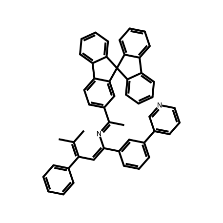 CC(C)=C(/C=C(\N=C(/C)c1ccc2c(c1)C1(c3ccccc3-c3ccccc31)c1ccccc1-2)c1cccc(-c2cccnc2)c1)c1ccccc1